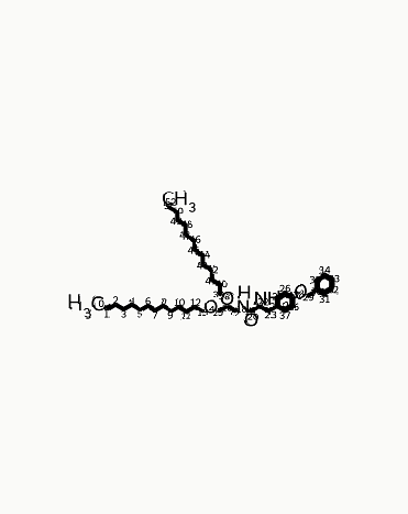 CCCCCCCCCCCCCCOCC(CNC(=O)C(N)Cc1ccc(OCc2ccccc2)cc1)OCCCCCCCCCCCCCC